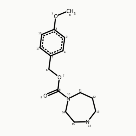 COc1ccc(COC(=O)N2CCC[N]CC2)cc1